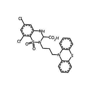 O=C(O)C1Nc2cc(Cl)cc(Cl)c2S(=O)(=O)N1CCCN1c2ccccc2Sc2ccccc21